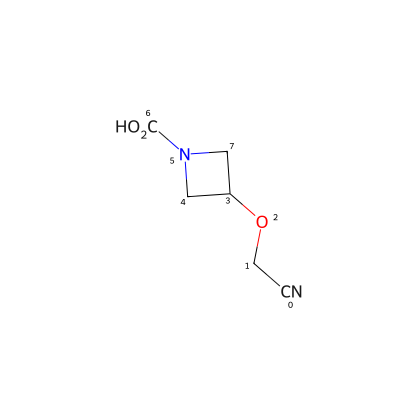 N#CCOC1CN(C(=O)O)C1